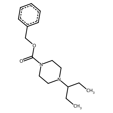 CCC(CC)N1CCN(C(=O)OCc2ccccc2)CC1